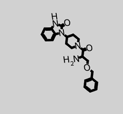 NC(COCc1ccccc1)C(=O)N1CCC(n2c(=O)[nH]c3ccccc32)CC1